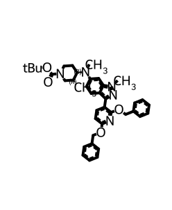 C[C@@H]1CN(C(=O)OC(C)(C)C)CC[C@H]1N(C)c1ccc2c(-c3ccc(OCc4ccccc4)nc3OCc3ccccc3)nn(C)c2c1